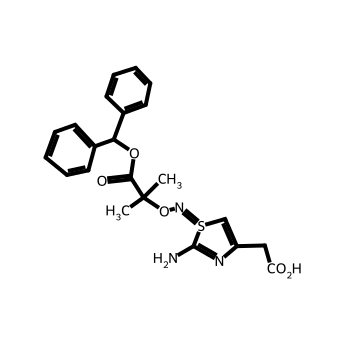 CC(C)(O/N=S1/C=C(CC(=O)O)N=C1N)C(=O)OC(c1ccccc1)c1ccccc1